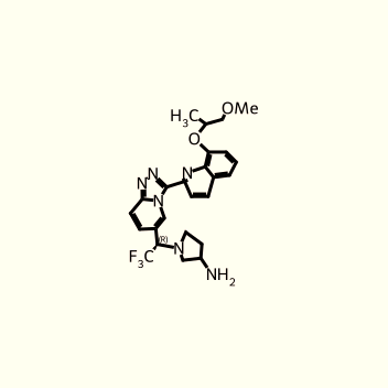 COCC(C)Oc1cccc2ccc(-c3nnc4ccc([C@@H](N5CCC(N)C5)C(F)(F)F)cn34)nc12